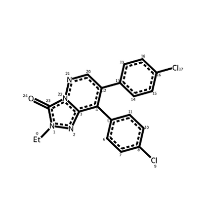 CCn1nc2c(-c3ccc(Cl)cc3)c(-c3ccc(Cl)cc3)cnn2c1=O